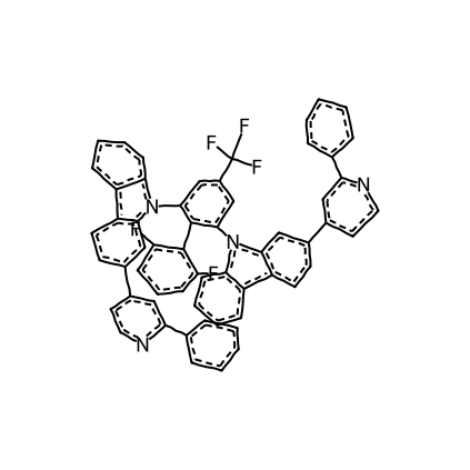 Fc1cccc(F)c1-c1c(-n2c3ccccc3c3ccc(-c4ccnc(-c5ccccc5)c4)cc32)cc(C(F)(F)F)cc1-n1c2ccccc2c2ccc(-c3ccnc(-c4ccccc4)c3)cc21